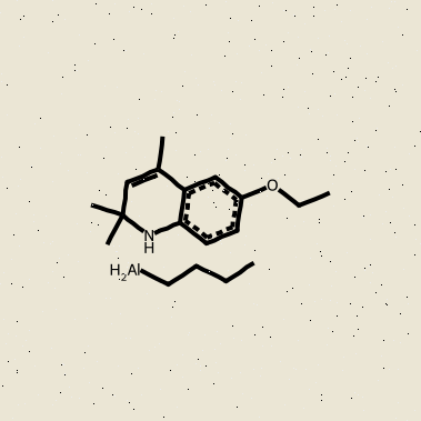 CCC[CH2][AlH2].CCOc1ccc2c(c1)C(C)=CC(C)(C)N2